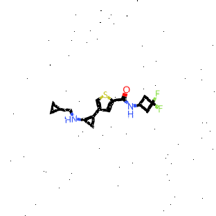 O=C(NC1CC(F)(F)C1)c1cc(C2CC2NCC2CC2)cs1